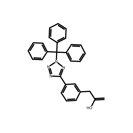 C=C(O)Cc1cccc(-c2nnn(C(c3ccccc3)(c3ccccc3)c3ccccc3)n2)c1